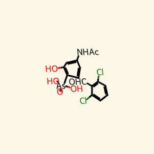 CC(=O)Nc1ccc([As](=O)(O)O)c(O)c1.O=Cc1c(Cl)cccc1Cl